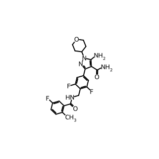 Cc1ccc(F)cc1C(=O)NCc1c(F)cc(-c2nn(C3CCOCC3)c(N)c2C(N)=O)cc1F